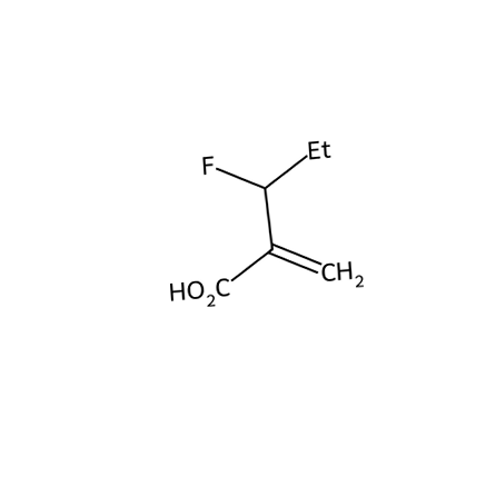 C=C(C(=O)O)C(F)CC